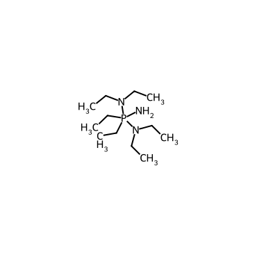 CCN(CC)P(N)(CC)(CC)N(CC)CC